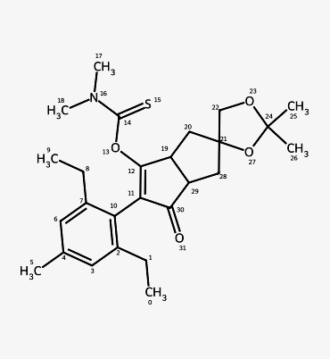 CCc1cc(C)cc(CC)c1C1=C(OC(=S)N(C)C)C2CC3(COC(C)(C)O3)CC2C1=O